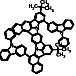 CC(C)(C)c1cc(-c2ccc3c(c2)c2ccccc2n3-c2ccccc2)c2c(c1)c1cc3ccccc3c3c4cc5c(cc4n2c13)c1cc(C(C)(C)C)cc2c3c4ccccc4cc(-c4ccc6c(c4)c4ccccc4n6-c4ccccc4)c3n5c12